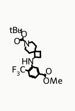 COC(=O)c1ccc(C(F)(F)F)c(N[C@@H]2CCC23CCN(C(=O)OC(C)(C)C)CC3)c1